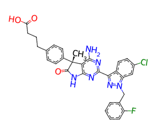 C[C@]1(c2ccc(CCCC(=O)O)cc2)C(=O)Nc2nc(-c3nn(Cc4ccccc4F)c4cc(Cl)ccc34)nc(N)c21